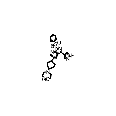 Cn1cc(-c2nn(S(=O)(=O)c3ccccc3)c3ncc(C4CCC(N5CCCOCC5)CC4)cc23)cn1